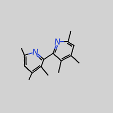 Cc1cc(C)c(C)c(-c2nc(C)cc(C)c2C)n1